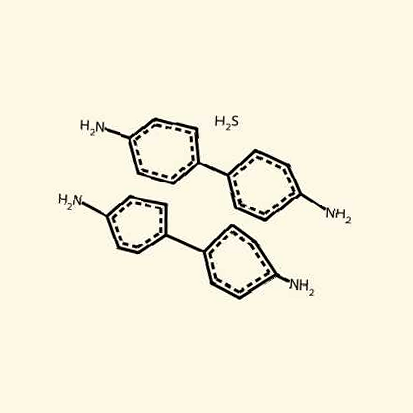 Nc1ccc(-c2ccc(N)cc2)cc1.Nc1ccc(-c2ccc(N)cc2)cc1.S